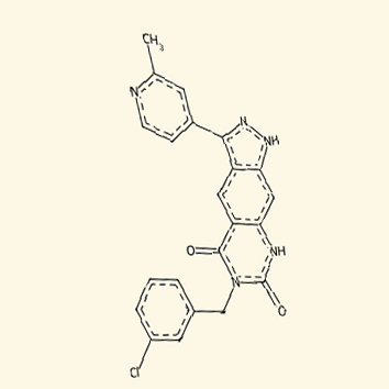 Cc1cc(-c2n[nH]c3cc4[nH]c(=O)n(Cc5cccc(Cl)c5)c(=O)c4cc23)ccn1